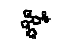 O=[N+]([O-])c1ccc(C2CCCN2c2ccncn2)c(N2CCCC2)c1